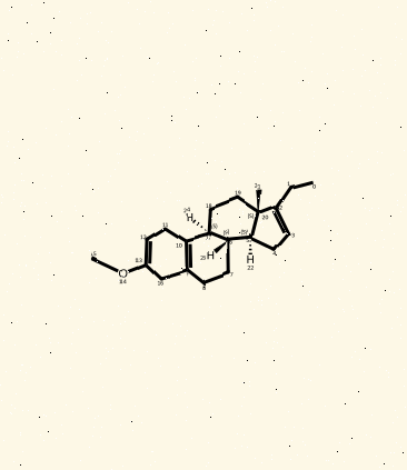 CCC1=CC[C@H]2[C@@H]3CCC4=C(CC=C(OC)C4)[C@H]3CC[C@]12C